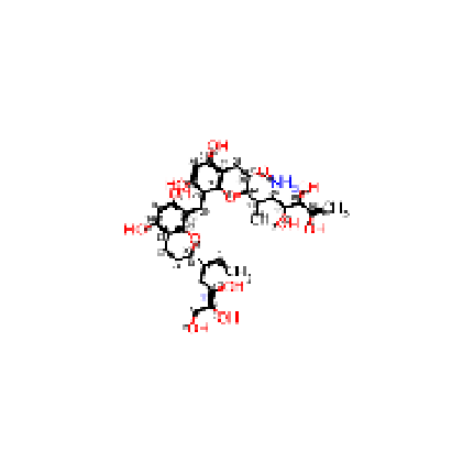 C=CC(C/C(O)=C(/O)CO)[C@@H]1CCc2c(O)cc(O)c(CC3C(O)=CC(O)=C4C[C@@H](ON)[C@@H](C(C)CC(O)C(O)C(=C)O)OC43)c2O1